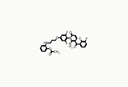 CC(=O)Oc1ccccc1NCCCOc1cc(F)c(-n2c(N)c(C(=O)c3cccc(F)c3F)ccc2=O)c(F)c1